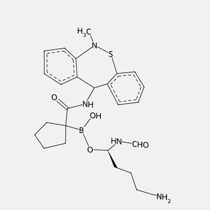 CN1Sc2ccccc2C(NC(=O)C2(B(O)O[C@H](CCCN)NC=O)CCCC2)c2ccccc21